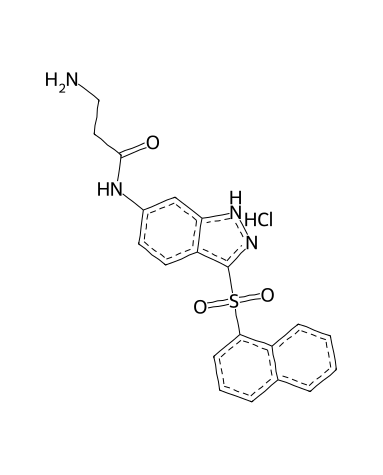 Cl.NCCC(=O)Nc1ccc2c(S(=O)(=O)c3cccc4ccccc34)n[nH]c2c1